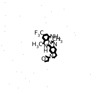 Cc1nc(NC(C)c2cc(N)cc(C(F)(F)F)c2)c2cc3c(cc2n1)CCN3C1CCOC1